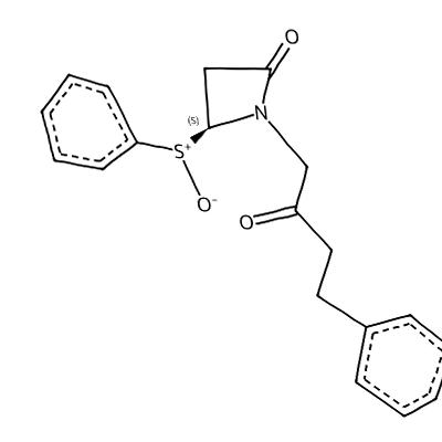 O=C(CCc1ccccc1)CN1C(=O)C[C@@H]1[S+]([O-])c1ccccc1